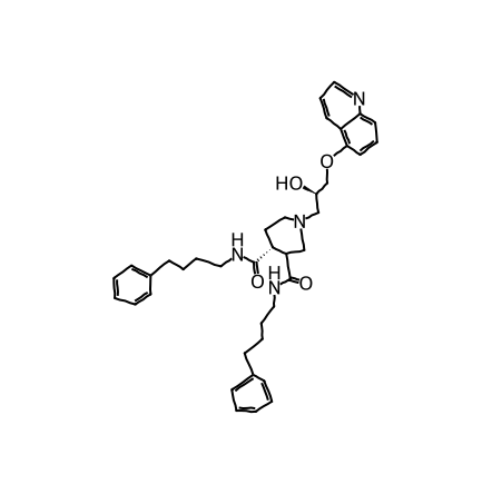 O=C(NCCCCc1ccccc1)C1CN(C[C@@H](O)COc2cccc3ncccc23)CC[C@H]1C(=O)NCCCCc1ccccc1